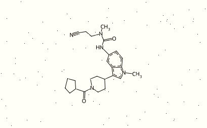 CN(CCC#N)C(=O)Nc1ccc2c(c1)c(C1CCN(C(=O)C3CCCC3)CC1)cn2C